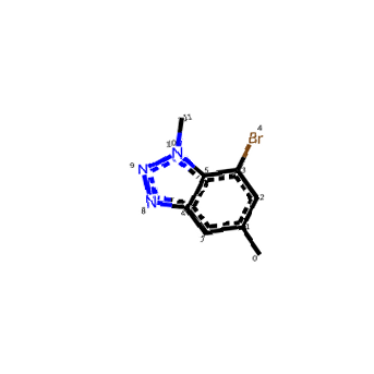 Cc1cc(Br)c2c(c1)nnn2C